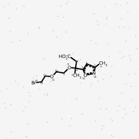 Cc1cc(C(C)(CC(=O)O)OCCOCCBr)on1